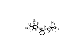 Cc1c(F)c(N[C@@H]2CCCC[C@@H]2NC(=O)OC(C)(C)C)nc(Cl)c1C(=O)O